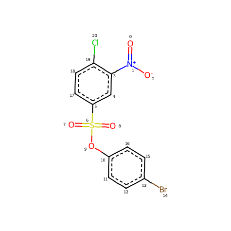 O=[N+]([O-])c1cc(S(=O)(=O)Oc2ccc(Br)cc2)ccc1Cl